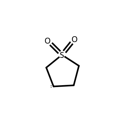 O=S1(=O)C[C]CC1